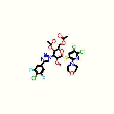 COC1C(n2cc(-c3cc(F)c(Cl)c(F)c3)nn2)[C@@H](OC(C)=O)C(COC(C)=O)O[C@@H]1Sc1cc(Cl)c(Cl)nc1N1CCOCC1